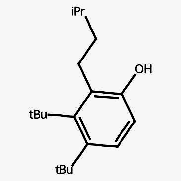 CC(C)CCc1c(O)ccc(C(C)(C)C)c1C(C)(C)C